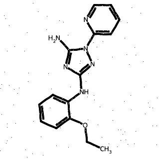 CCOc1ccccc1Nc1nc(N)n(-c2ccccn2)n1